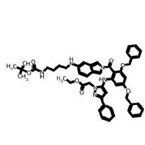 CCOC(=O)Cn1nc(-c2ccccc2)cc1Nc1cc(OCc2ccccc2)cc(OCc2ccccc2)c1C(=O)n1cc2ccc(NCCCCNC(=O)OC(C)(C)C)cc2c1